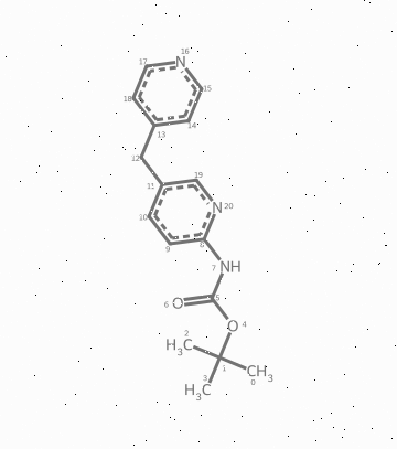 CC(C)(C)OC(=O)Nc1ccc(Cc2ccncc2)cn1